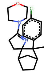 CC1(c2ccc(Cl)cc2)C2CCC(C2)C12CCC(N1CCOCC1)=N2